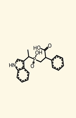 CC(c1c[nH]c2ccccc12)P(=O)(O)CC(C(=O)O)c1ccccc1